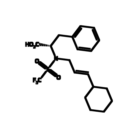 O=C(O)[C@H](Cc1ccccc1)N(C/C=C/C1CCCCC1)S(=O)(=O)C(F)(F)F